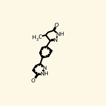 CC1CC(=O)NN=C1c1ccc(-c2ccc(=O)[nH]n2)cc1